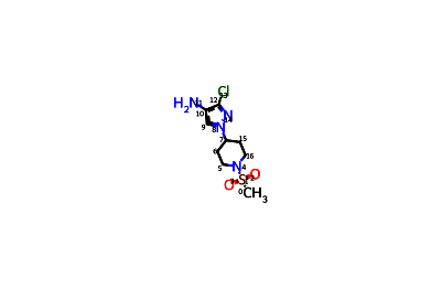 CS(=O)(=O)N1CCC(n2cc(N)c(Cl)n2)CC1